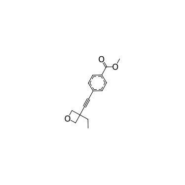 CCC1(C#Cc2ccc(C(=O)OC)cc2)COC1